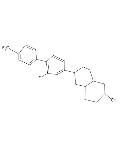 CC1CCC2CC(c3ccc(-c4ccc(C(F)(F)F)cc4)c(F)c3)CCC2C1